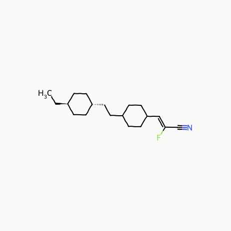 CC[C@H]1CC[C@H](CCC2CCC(C=C(F)C#N)CC2)CC1